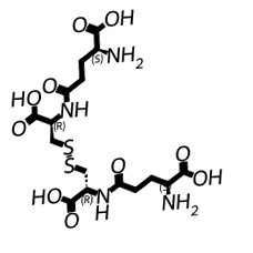 N[C@@H](CCC(=O)N[C@@H](CSSC[C@H](NC(=O)CC[C@H](N)C(=O)O)C(=O)O)C(=O)O)C(=O)O